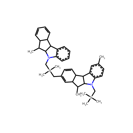 Cc1ccc2c(c1)C1C3C=CC(C[Si](C)(C)CN4c5ccccc5C5C6C=CC=CC6C(C)C54)=CC3C(C)C1N2C[Si](C)(C)C